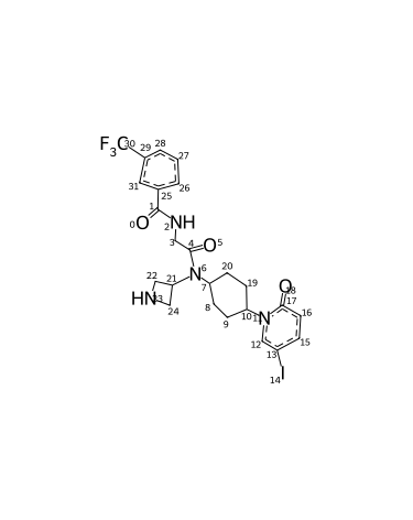 O=C(NCC(=O)N(C1CCC(n2cc(I)ccc2=O)CC1)C1CNC1)c1cccc(C(F)(F)F)c1